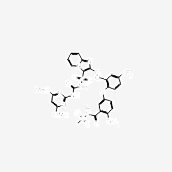 COc1cc(OC)nc(NC(=O)NS(=O)(=O)c2c(Cl)nc3ccccn23)n1.CS(=O)(=O)NC(=O)c1cc(Oc2ccc(C(F)(F)F)cc2Cl)ccc1[N+](=O)[O-]